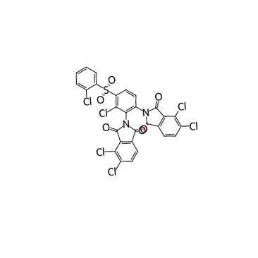 O=C1c2ccc(Cl)c(Cl)c2C(=O)N1c1ccc(S(=O)(=O)c2ccccc2Cl)c(Cl)c1N1C(=O)c2ccc(Cl)c(Cl)c2C1=O